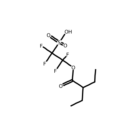 CCC(CC)C(=O)OC(F)(F)C(F)(F)S(=O)(=O)O